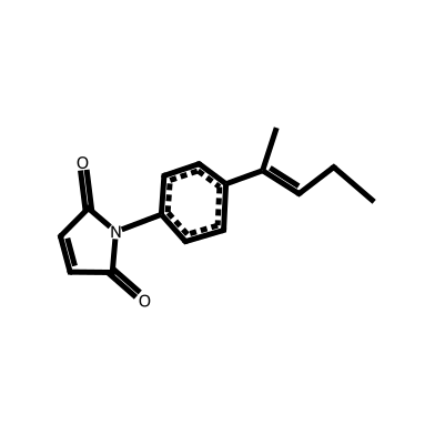 CC/C=C(\C)c1ccc(N2C(=O)C=CC2=O)cc1